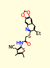 CCc1cc2cc3c(cc2nc1SCC(=O)Nc1sc(C)c(C)c1C#N)OCO3